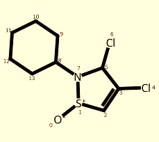 [O-][S+]1C=C(Cl)C(Cl)N1C1CCCCC1